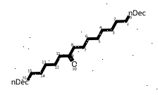 CCCCCCCCCCCCCCCCCCC(=O)CCCCCCCCCCCCCCC